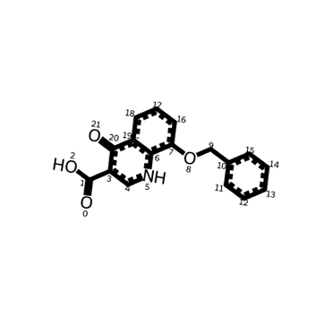 O=C(O)c1c[nH]c2c(OCc3ccccc3)cccc2c1=O